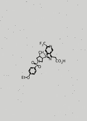 CCOc1ccc(S(=O)(=O)N2C[C@@H](C)[C@@H](n3nc(CC(=O)O)c4cnc(C(F)(F)F)cc43)C2)cc1